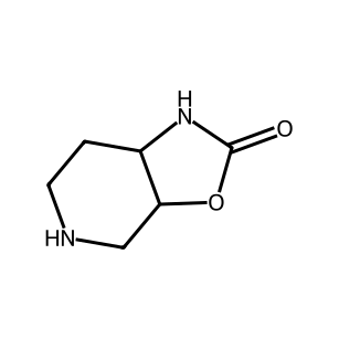 O=C1NC2CCNCC2O1